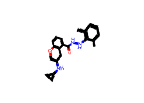 Cc1cccc(C)c1NNC(=O)c1cccc2c1CC(NC1CC1)CO2